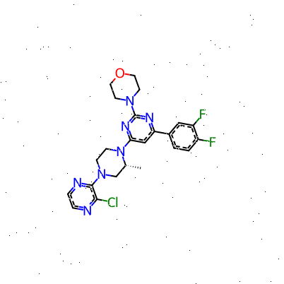 C[C@@H]1CN(c2nccnc2Cl)CCN1c1cc(-c2ccc(F)c(F)c2)nc(N2CCOCC2)n1